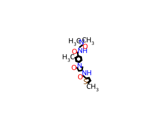 Cc1ccc(C(=O)NC2CC(=O)N(c3ccc(C(=O)NCC(=O)N(C)C)c(C)c3)C2)s1